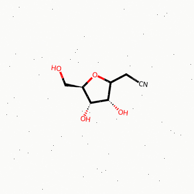 N#CCC1O[C@H](CO)[C@@H](O)[C@H]1O